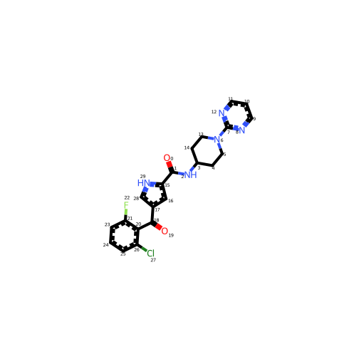 O=C(NC1CCN(c2ncccn2)CC1)c1cc(C(=O)c2c(F)cccc2Cl)c[nH]1